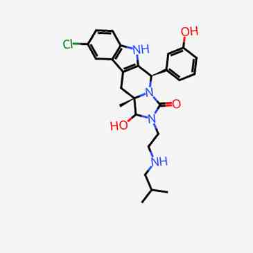 CC(C)CNCCN1C(=O)N2[C@H](c3cccc(O)c3)c3[nH]c4ccc(Cl)cc4c3C[C@@]2(C)C1O